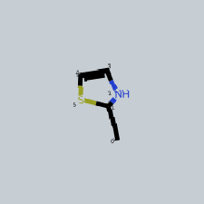 CC1NC=[C]S1